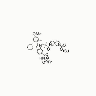 COc1ccc(-c2c(C3CCCCC3)c3ccc(C(=O)NS(=O)(=O)C(C)C)cc3n2CC(C)(C)C(=O)N2CCC3(CCN(C(=O)OC(C)(C)C)C3)C2)c(C)c1